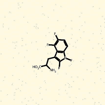 NC(Cc1c(F)n(F)c2ccc(F)c(F)c12)C(=O)O